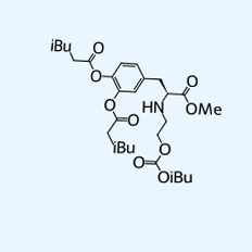 CCC(C)CC(=O)Oc1ccc(C[C@H](NCCOC(=O)OCC(C)C)C(=O)OC)cc1OC(=O)CC(C)CC